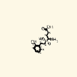 NC(CCC(=O)O)P(=O)(O)CCc1ccccc1Cl